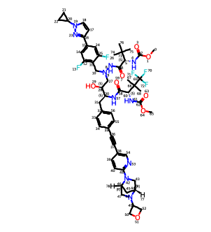 COC(=O)N[C@H](C(=O)NN(Cc1c(F)cc(-c2ccn(C3CC3)n2)cc1F)C[C@H](O)[C@H](Cc1ccc(C#Cc2ccc(N3C[C@H]4C[C@@H]3CN4C3COC3)nc2)cc1)NC(=O)[C@@H](NC(=O)OC)C(C)(C)C(F)(F)F)C(C)(C)C